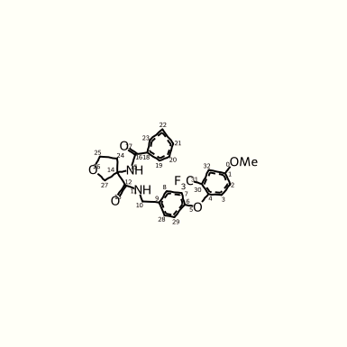 COc1ccc(Oc2ccc(CNC(=O)C3(NC(=O)c4ccccc4)CCOC3)cc2)c(C(F)(F)F)c1